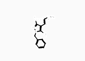 CCOC(=O)c1nn(Cc2ccccc2)c(Cl)c1/C=C/OC